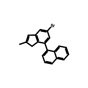 CC1=Cc2cc(Br)cc(-c3cccc4ccccc34)c2C1